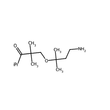 CC(C)C(=O)C(C)(C)COC(C)(C)CCN